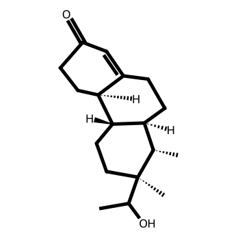 CC(O)[C@@]1(C)CC[C@H]2[C@@H](CCC3=CC(=O)CC[C@@H]32)[C@@H]1C